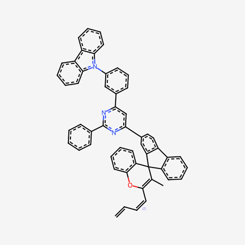 C=C/C=C\C1=C(C)C2(c3ccccc3O1)c1ccccc1-c1ccc(-c3cc(-c4cccc(-n5c6ccccc6c6ccccc65)c4)nc(-c4ccccc4)n3)cc12